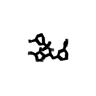 Cn1c(S)nnc1C(Cc1cccc(C#N)c1)NS(=O)(=O)c1cccc(Br)c1